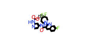 CC(C)(C)OC(=O)Nc1cc(NC(=O)c2cc3ccc(F)cc3nc2N2CCCC(F)(F)CC2)ccn1